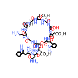 CC(CC(=O)O)[C@@H]1NC(=O)[C@@H](CO)NC(=O)CNC(=O)[C@H](CC(=O)O)NC(=O)[C@@H](C)NC(=O)[C@H](CC(=O)O)NC(=O)[C@H](CCCN)NC(=O)CNC(=O)[C@@H](NC(=O)[C@H](CC(=O)O)NC(=O)[C@@H](CCN)NC(=O)[C@@H](N)Cc2c[nH]c3ccccc23)[C@@H](C)OC(=O)[C@H](CC(=O)c2ccccc2N)NC1=O